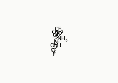 N[C@@H](CN1C[C@@H]2CC1C(=O)N2Cc1cccc(F)c1)C(=O)N1CCCC1C(=O)C(F)(F)F